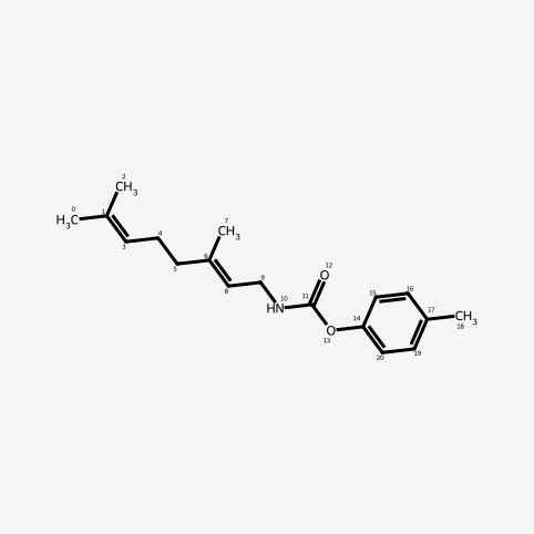 CC(C)=CCC/C(C)=C/CNC(=O)Oc1ccc(C)cc1